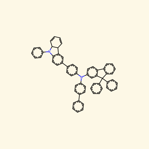 C1=CC2c3cc(-c4ccc(N(c5ccc(-c6ccccc6)cc5)c5ccc6c(c5)C(c5ccccc5)(c5ccccc5)c5ccccc5-6)cc4)ccc3N(c3ccccc3)C2C=C1